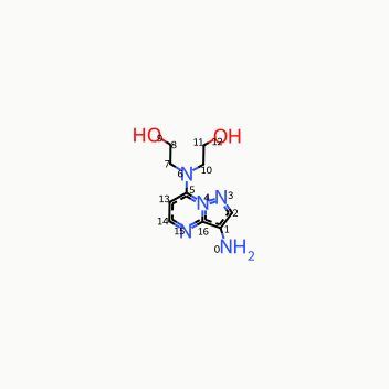 Nc1cnn2c(N(CCO)CCO)ccnc12